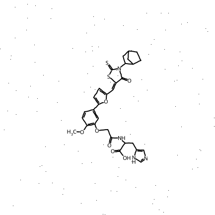 COc1ccc(-c2ccc(/C=C3\SC(=S)N(C4CC5CCC4C5)C3=O)o2)cc1OCC(=O)NC(Cc1cnc[nH]1)C(=O)O